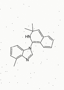 Cc1cccc2c1ncn2C1=c2ccccc2=CC(C)(C)N1